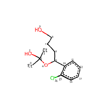 CCC(O)(CC)OC(CCCO)c1ccccc1Cl